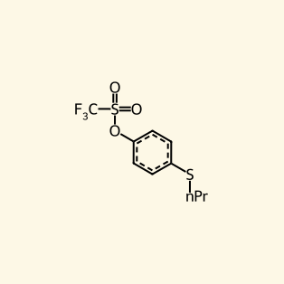 CCCSc1ccc(OS(=O)(=O)C(F)(F)F)cc1